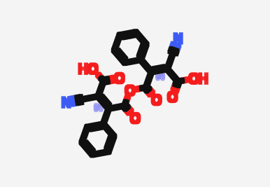 N#C/C(C(=O)O)=C(/C(=O)OC(=O)/C(=C(/C#N)C(=O)O)c1ccccc1)c1ccccc1